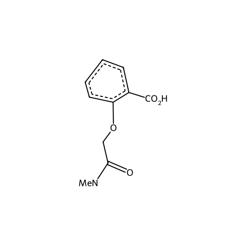 CNC(=O)COc1ccccc1C(=O)O